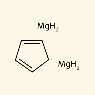 [CH]1C=CC=C1.[MgH2].[MgH2]